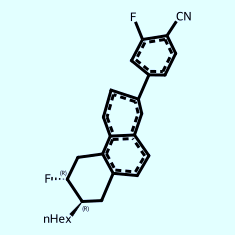 CCCCCC[C@@H]1Cc2ccc3cc(-c4ccc(C#N)c(F)c4)ccc3c2C[C@H]1F